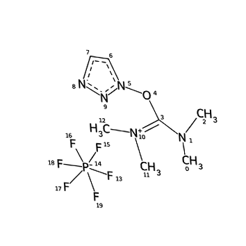 CN(C)C(On1ccnn1)=[N+](C)C.F[P-](F)(F)(F)(F)F